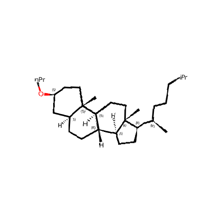 CCCO[C@H]1CC[C@@]2(C)[C@@H](CC[C@@H]3[C@@H]2CC[C@]2(C)[C@@H]([C@H](C)CCCC(C)C)CC[C@@H]32)C1